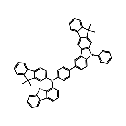 CC1(C)c2ccccc2-c2ccc(N(c3ccc(-c4ccc5c(c4)c4cc6c(cc4n5-c4ccccc4)C(C)(C)c4ccccc4-6)cc3)c3cccc4c3oc3ccccc34)cc21